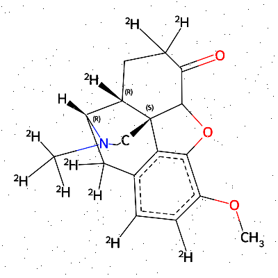 [2H]c1c([2H])c2c3c(c1OC)OC1C(=O)C([2H])([2H])C[C@@]4([2H])[C@H](N(C([2H])([2H])[2H])CC[C@]314)C2([2H])[2H]